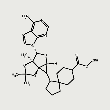 CC(C)(C)OC(=O)N1CCC2(CCCN2C2[C@H]3O[C@@H](n4cnc5c(N)ncnc54)[C@]4(C)OC(C)(C)O[C@]234)CC1